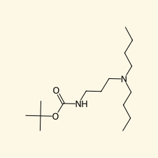 CCCCN(CCCC)CCCNC(=O)OC(C)(C)C